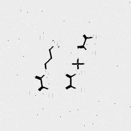 C=C(C)C(=O)NC(C)(C)C.C=C(C)C(=O)NCCC[N+](C)(C)C.C=C(C)C([NH-])=O